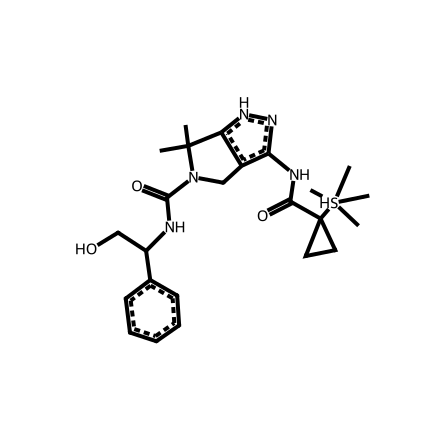 CC1(C)c2[nH]nc(NC(=O)C3([SH](C)(C)(C)C)CC3)c2CN1C(=O)NC(CO)c1ccccc1